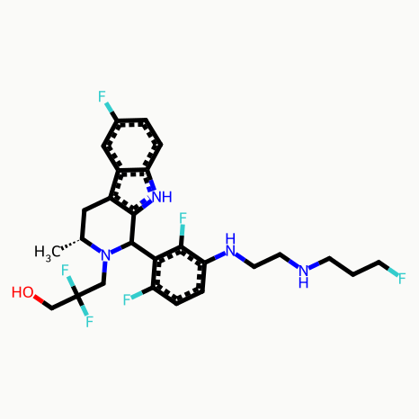 C[C@@H]1Cc2c([nH]c3ccc(F)cc23)C(c2c(F)ccc(NCCNCCCF)c2F)N1CC(F)(F)CO